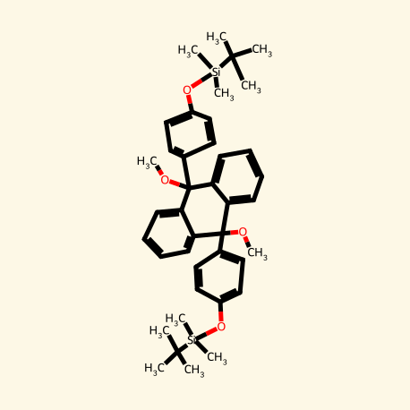 COC1(c2ccc(O[Si](C)(C)C(C)(C)C)cc2)c2ccccc2C(OC)(c2ccc(O[Si](C)(C)C(C)(C)C)cc2)c2ccccc21